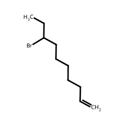 C=CCCCCCC(Br)CC